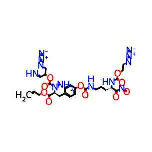 C=CCOC(=O)[C@H](Cc1ccc(OC(=O)NCCC[C@H](NC(=O)OCCN=[N+]=[N-])C(=O)N=O)cc1)N(N)C(=O)OC(C=N)CN=[N+]=[N-]